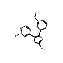 COc1cccc(-c2nc(N)sc2-c2ccnc(F)c2)c1